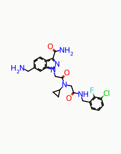 NCc1ccc2c(C(N)=O)nn(CC(=O)N(CC(=O)NCc3cccc(Cl)c3F)C3CC3)c2c1